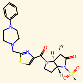 CC(C)[C@@H]1C(=O)N(S(C)(=O)=O)[C@@H]2CCN(C(=O)c3csc(CN4CCN(c5ccccc5)CC4)n3)[C@H]21